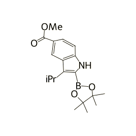 COC(=O)c1ccc2[nH]c(B3OC(C)(C)C(C)(C)O3)c(C(C)C)c2c1